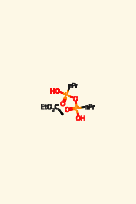 CCCP(=O)(O)OP(=O)(O)CCC.CCOC(C)=O